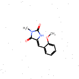 COc1ccccc1/C=C1\NC(=O)N(C)C1=O